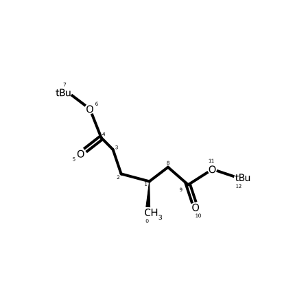 C[C@@H](CCC(=O)OC(C)(C)C)CC(=O)OC(C)(C)C